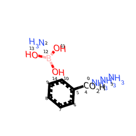 N.N.N.N.O=C(O)c1ccccc1.OB(O)O